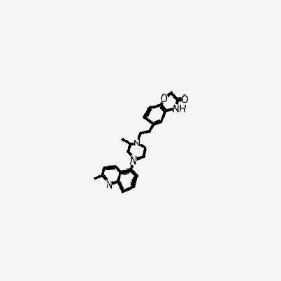 Cc1ccc2c(N3CCN(CCc4ccc5c(c4)NC(=O)CO5)C(C)C3)cccc2n1